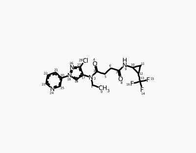 CCN(C(=O)CCC(=O)NC1CC1C(F)(F)F)c1cn(-c2cccnc2)nc1Cl